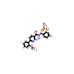 CS(=O)(=O)c1cc(F)ccc1CNC(=O)c1ccc(-c2ccccc2OC(F)(F)F)nc1